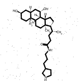 C[C@H](CCC(=O)NCCCC1CCNC1)[C@H]1CC[C@H]2[C@@H]3[C@@H](O)C[C@@H]4C[C@H](O)CC[C@]4(C)[C@H]3CC[C@]12C